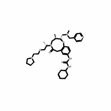 C[C@@H]1CN([C@@H](C)COCCN2CCCC2)C(=O)Cc2cc(NC(=O)NC3CCCCC3)ccc2O[C@H]1CN(C)Cc1ccncc1